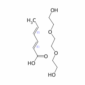 C/C=C/C=C/C(=O)O.OCCOCCOCCO